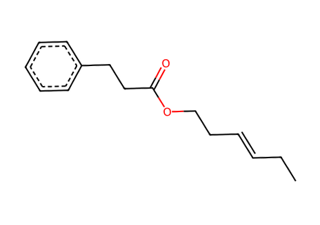 CCC=CCCOC(=O)CCc1ccccc1